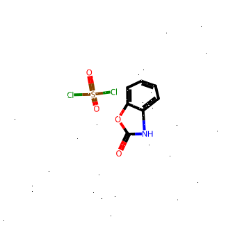 O=S(=O)(Cl)Cl.O=c1[nH]c2ccccc2o1